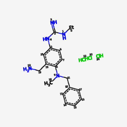 CCNC(=N)Nc1ccc(N(C)Cc2ccccc2)c(CN)c1.Cl.Cl.Cl